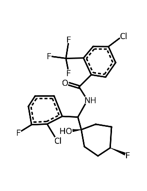 O=C(NC(c1cccc(F)c1Cl)[C@]1(O)CC[C@@H](F)CC1)c1ccc(Cl)cc1C(F)(F)F